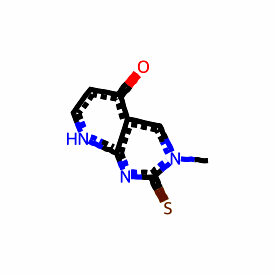 Cn1cc2c(=O)cc[nH]c2nc1=S